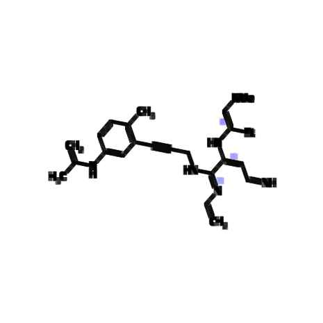 C=C/N=C(NCC#Cc1cc(NC(=C)C)ccc1C)/C(=C\C=N)N/C(=C/NC)CC